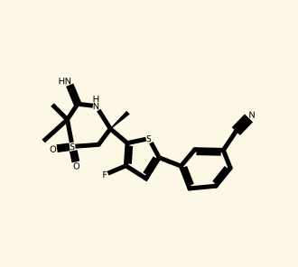 CC1(C)C(=N)N[C@](C)(c2sc(-c3cccc(C#N)c3)cc2F)CS1(=O)=O